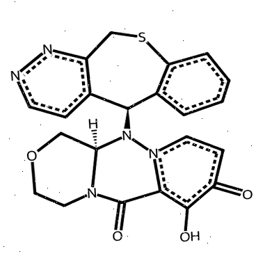 O=C1c2c(O)c(=O)ccn2N([C@@H]2c3ccccc3SCc3nnccc32)[C@@H]2COCCN12